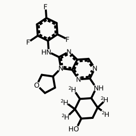 [2H]C1C(Nc2ncc3nc(Nc4c(F)cc(F)cc4F)n(C4CCOC4)c3n2)C([2H])([2H])CC(O)C1([2H])[2H]